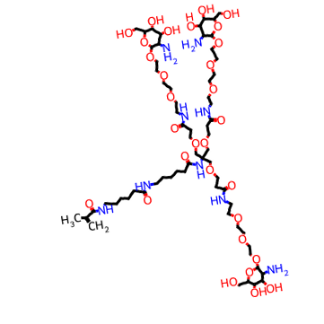 C=C(C)C(=O)NCCCCCC(=O)NCCCCCC(=O)NC(COCCC(=O)NCCOCCOCCOC1OC(CO)C(O)C(O)C1N)(COCCC(=O)NCCOCCOCCOC1OC(CO)C(O)C(O)C1N)COCCC(=O)NCCOCCOCCOC1OC(CO)C(O)C(O)C1N